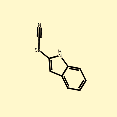 N#C[Se]c1cc2ccccc2[nH]1